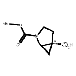 CC(C)(C)OC(=O)N1CC[C@]2(C(=O)O)CC12